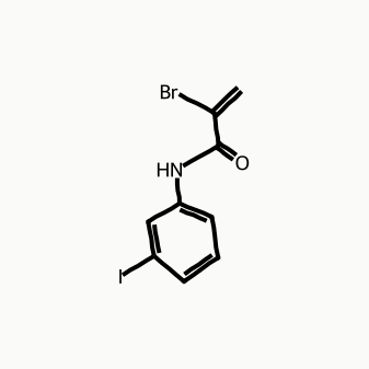 C=C(Br)C(=O)Nc1cccc(I)c1